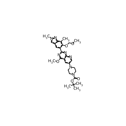 COCOc1c(-c2nc(OC)c3cc(N4CCN(C(=O)OC(C)(C)C)CC4)cnc3n2)cc2cn(C)nc2c1C